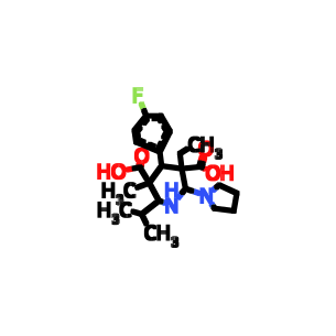 CCC1(C(=O)O)C(N2CCCC2)NC(C(C)C)C(C)(C(=O)O)C1c1ccc(F)cc1